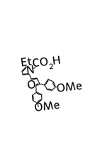 CCc1ccc(-c2cc(-c3ccc(OC)cc3)c(-c3ccc(OC)cc3)o2)n1CC(=O)O